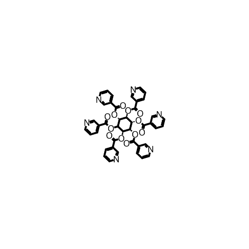 O=C(OC1[C@H](OC(=O)c2cccnc2)[C@@H](OC(=O)c2cccnc2)[C@H](OC(=O)c2cccnc2)[C@@H](OC(=O)c2cccnc2)[C@H]1OC(=O)c1cccnc1)c1cccnc1